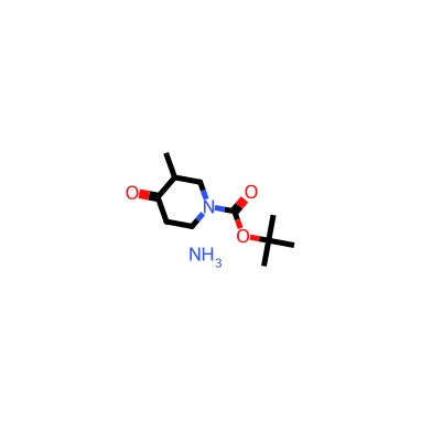 CC1CN(C(=O)OC(C)(C)C)CCC1=O.N